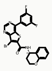 O=C(N[C@H]1CCOc2ccccc21)c1sc2c(-c3cc(F)cc(F)c3)ncnc2c1Br